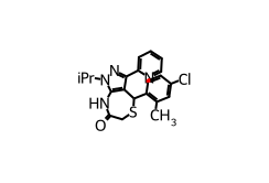 Cc1cc(Cl)ccc1C1SCC(=O)Nc2c1c(-c1ccccn1)nn2C(C)C